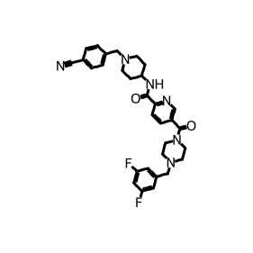 N#Cc1ccc(CN2CCC(NC(=O)c3ccc(C(=O)N4CCN(Cc5cc(F)cc(F)c5)CC4)cn3)CC2)cc1